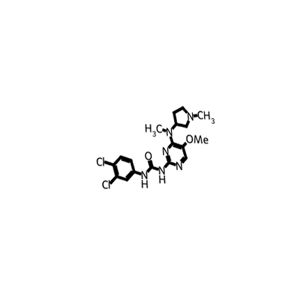 COc1cnc(NC(=O)Nc2ccc(Cl)c(Cl)c2)nc1N(C)C1CCN(C)C1